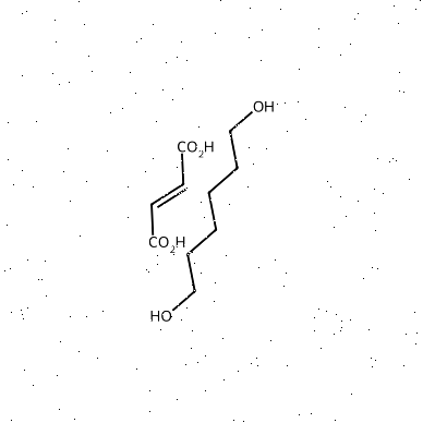 O=C(O)C=CC(=O)O.OCCCCCCO